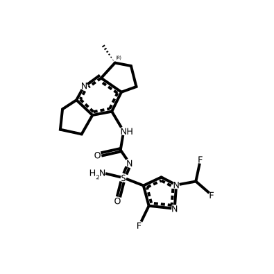 C[C@@H]1CCc2c1nc1c(c2NC(=O)N=S(N)(=O)c2cn(C(F)F)nc2F)CCC1